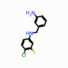 Nc1[c]ccc(CNc2ccc(Cl)c(F)c2)c1